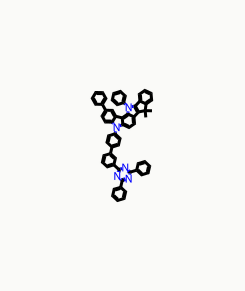 CC1(C)c2ccccc2-c2c1c1ccc3c(c4cc(-c5ccccc5)ccc4n3-c3ccc(-c4cccc(-c5nc(-c6ccccc6)nc(-c6ccccc6)n5)c4)cc3)c1n2-c1ccccc1